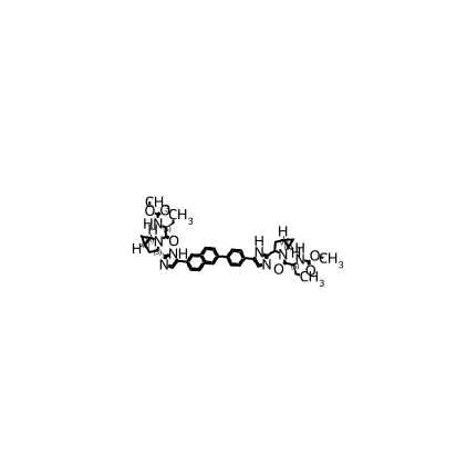 CC[C@H](NC(=O)OC)C(=O)N1C(c2ncc(-c3ccc(-c4ccc5cc(-c6cnc([C@@H]7C[C@H]8C[C@H]8N7C(=O)[C@H](CC)NC(=O)OC)[nH]6)ccc5c4)cc3)[nH]2)C[C@H]2C[C@H]21